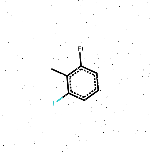 CCc1c[c]cc(F)c1C